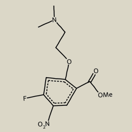 COC(=O)c1cc([N+](=O)[O-])c(F)cc1OCCN(C)C